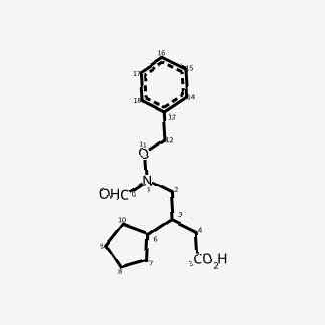 O=CN(CC(CC(=O)O)C1CCCC1)OCc1ccccc1